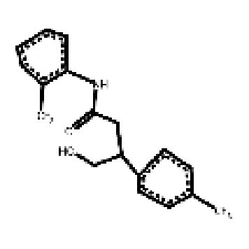 O=C(CC(CO)c1ccc(C(F)(F)F)cc1)Nc1ccccc1C(F)(F)F